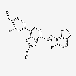 N#Cc1cn2c(NCc3c(F)ccc4c3CCC4)ncc(-c3ccc(C=O)c(F)c3)c2n1